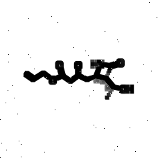 C=CCOC(=O)CC(=O)C[C@H]1NC(=O)[C@@H]1[C@@H](C)O